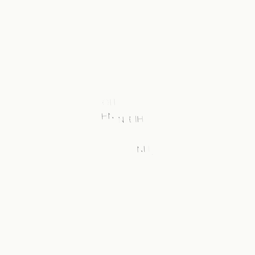 Cl.NCCNNO